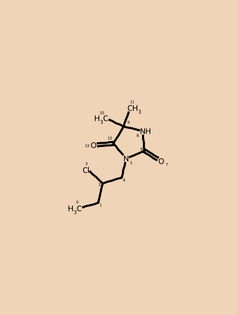 CCC(Cl)CN1C(=O)NC(C)(C)C1=O